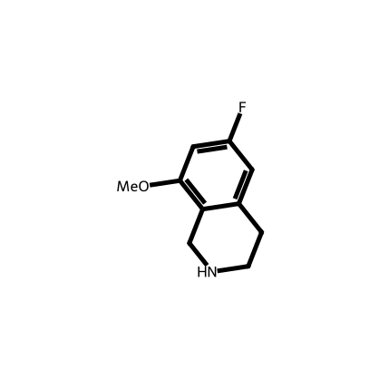 COc1cc(F)cc2c1CNCC2